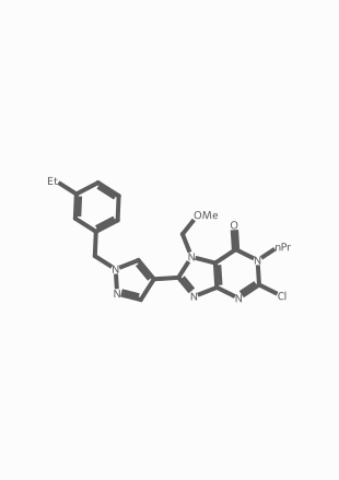 CCCn1c(Cl)nc2nc(-c3cnn(Cc4cccc(CC)c4)c3)n(COC)c2c1=O